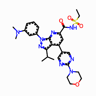 CCS(=O)(=O)NC(=O)c1cc(-c2cnc(N3CCOCC3)nc2)c2c(C(C)C)nn(-c3cccc(N(C)C)c3)c2n1